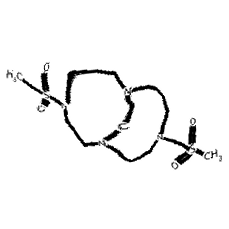 CS(=O)(=O)N1CCN2CCN(CC1)CCN(S(C)(=O)=O)CC2